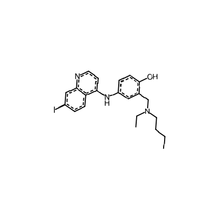 CCCCN(CC)Cc1cc(Nc2ccnc3cc(I)ccc23)ccc1O